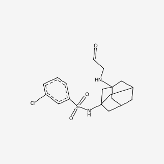 O=CCNC12CC3CC(C1)CC(NS(=O)(=O)c1cccc(Cl)c1)(C3)C2